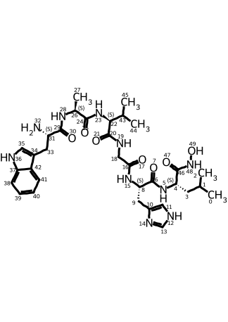 CC(C)C[C@H](NC(=O)[C@H](Cc1c[nH]cn1)NC(=O)CNC(=O)[C@@H](NC(=O)[C@H](C)NC(=O)[C@@H](N)Cc1c[nH]c2ccccc12)C(C)C)C(=O)NO